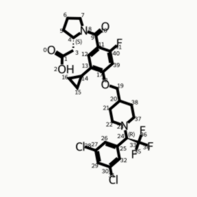 O=C(O)C[C@@H]1CCCN1C(=O)c1cc(C2CC2)c(OCC2CCN([C@H](c3cc(Cl)cc(Cl)c3)C(F)(F)F)CC2)cc1F